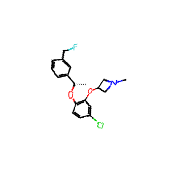 C[C@H](Oc1ccc(Cl)cc1OC1CN(C)C1)c1cccc(CF)c1